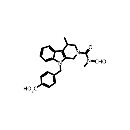 CC1CN(C(=O)N(C)C=O)Cc2c1c1ccccc1n2Cc1ccc(C(=O)O)cc1